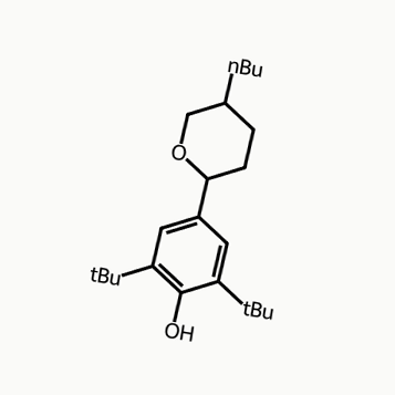 CCCCC1CCC(c2cc(C(C)(C)C)c(O)c(C(C)(C)C)c2)OC1